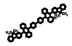 CC1(C)c2ccccc2-c2ccc(C3=c4ccccc4=C(c4ccc(-c5ccc(-c6c7ccccc7c(-c7ccc8c(c7)C(C)(C)c7ccccc7-8)c7ncccc67)cc5)cc4)C4=CC=CNC43)cc21